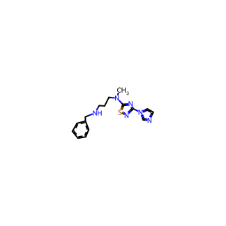 CN(CCCNCc1ccccc1)c1nc(-n2ccnc2)ns1